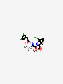 COC(=O)C(NC(=O)[C@H](C)NC(=O)Cc1cc(F)cc(F)c1)c1csc2ccc(Cl)cc12